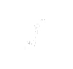 COc1ccc(S(=O)(=O)N2CC(=C3CN(C(=O)C(CO)n4cccc4)C3)C2)nc1